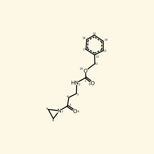 O=C(NCCC(=O)N1CC1)OCc1ccccc1